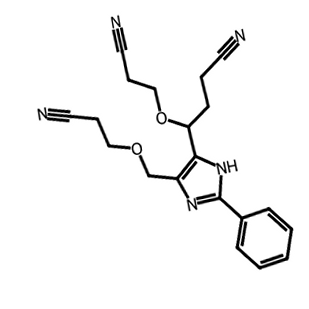 N#CCCOCc1nc(-c2ccccc2)[nH]c1C(CCC#N)OCCC#N